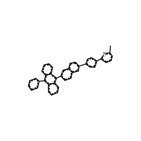 Cc1cccc(-c2ccc(-c3ccc4cc(-c5c6ccccc6c(-c6ccccc6)c6ccccc56)ccc4c3)cc2)n1